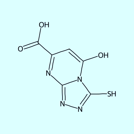 O=C(O)c1cc(O)n2c(S)nnc2n1